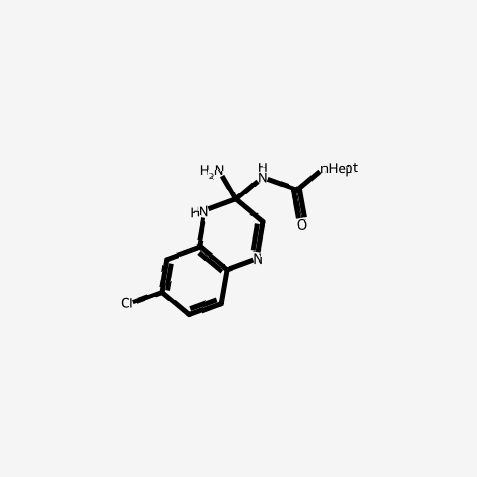 CCCCCCCC(=O)NC1(N)C=Nc2ccc(Cl)cc2N1